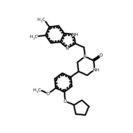 COc1ccc(C2CNC(=O)N(Cc3nc4cc(C)c(C)cc4[nH]3)C2)cc1OC1CCCC1